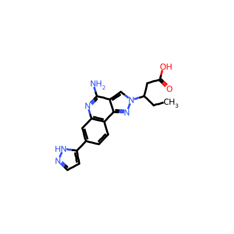 CCC(CC(=O)O)n1cc2c(N)nc3cc(-c4ccn[nH]4)ccc3c2n1